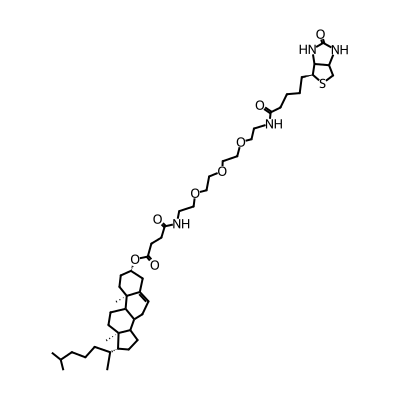 CC(C)CCCC(C)[C@H]1CCC2C3CC=C4C[C@@H](OC(=O)CCC(=O)NCCOCCOCCOCCNC(=O)CCCC[C@@H]5SCC6NC(=O)NC65)CC[C@]4(C)C3CC[C@@]21C